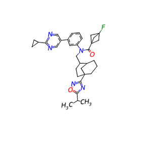 CC(C)c1nc(C23CCCC(C2)C(CN(C(=O)C24CC(F)(C2)C4)c2cccc(-c4cnc(C5CC5)nc4)c2)CC3)no1